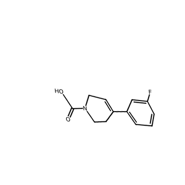 O=C(O)N1CC=C(c2cccc(F)c2)CC1